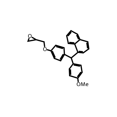 COc1ccc(C(c2ccc(OCC3CO3)cc2)c2cccc3ccccc23)cc1